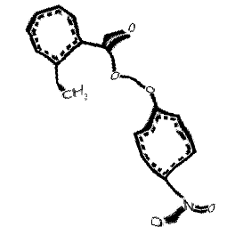 Cc1ccccc1C(=O)OOc1ccc([N+](=O)[O-])cc1